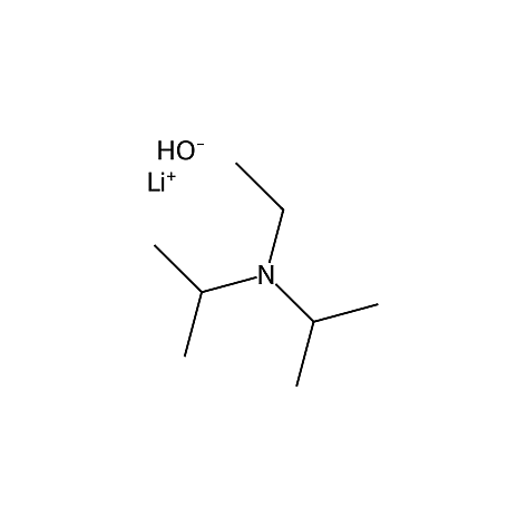 CCN(C(C)C)C(C)C.[Li+].[OH-]